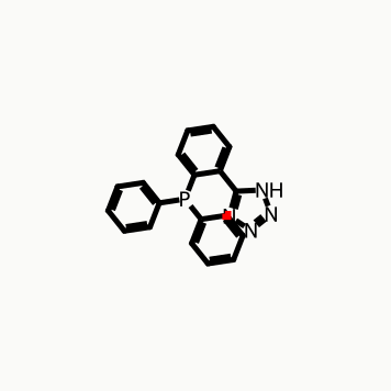 c1ccc(P(c2ccccc2)c2ccccc2-c2nnn[nH]2)cc1